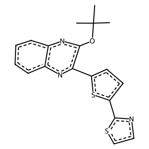 CC(C)(C)Oc1nc2ccccc2nc1-c1ccc(-c2nccs2)s1